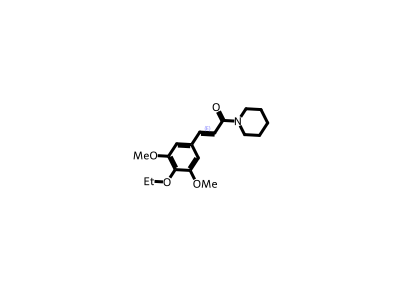 CCOc1c(OC)cc(/C=C/C(=O)N2CCCCC2)cc1OC